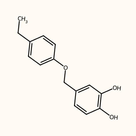 CCc1ccc(OCc2ccc(O)c(O)c2)cc1